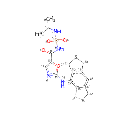 CC(C)NS(=O)(=O)NC(=O)c1cnc(Nc2c3c(cc4c2CCC4)CCC3)o1